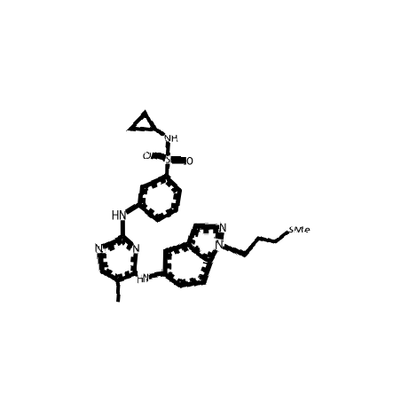 CSCCCn1ncc2cc(Nc3nc(Nc4cccc(S(=O)(=O)NC5CC5)c4)ncc3C)ccc21